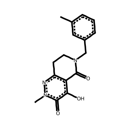 Cc1cccc(CN2CCc3nn(C)c(=O)c(O)c3C2=O)c1